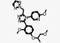 COCC(C)Oc1ccc(-c2nnc(Cn3nccn3)n2-c2ccc(OC)nc2)c(OC)c1